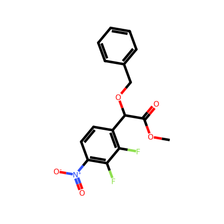 COC(=O)C(OCc1ccccc1)c1ccc([N+](=O)[O-])c(F)c1F